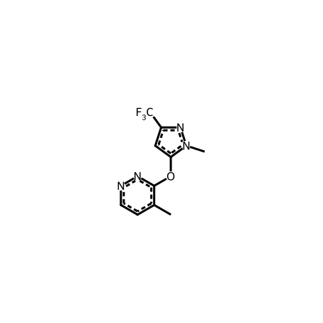 Cc1ccnnc1Oc1cc(C(F)(F)F)nn1C